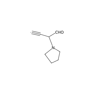 [C]#CC(C=O)N1CCCC1